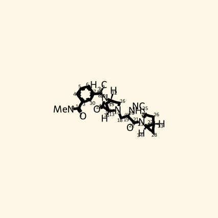 CNC(=O)c1cccc([C@@H](C)N2C(=O)[C@@H]3C[C@H]2CN3C[C@H](N)C(=O)N2[C@H](C#N)C[C@@H]3C[C@@H]32)c1